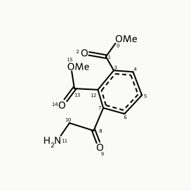 COC(=O)c1cccc(C(=O)CN)c1C(=O)OC